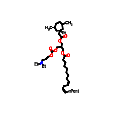 CCCCC/C=C\C/C=C\CCCCCCCC(=O)OCC(COC(=O)CC1(CC)CC(C)CC[C@@H](C)C1)COC(=O)OCCCN(CC)CC